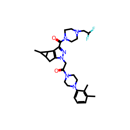 Cc1cccc(N2CCN(C(=O)Cn3nc(C(=O)N4CCN(CC(F)F)CC4)c4c3CC3C(C)C43)CC2)c1C